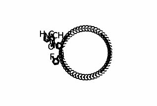 CC1(C)CN(C(=O)N2CCC3(CCCCCCCCCCCCCCCCCCCCCCCCCCCCCCCCCCCCCCCCCCCCCCCN(Cc4ccccc4F)CC3)CC2)c2cccnc21